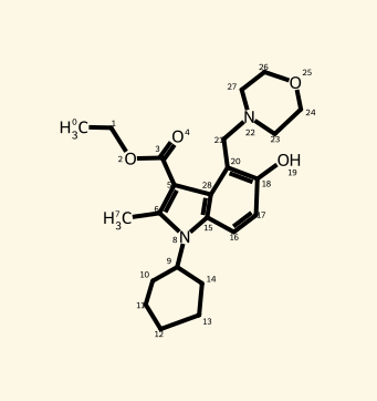 CCOC(=O)c1c(C)n(C2CCCCC2)c2ccc(O)c(CN3CCOCC3)c12